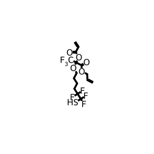 C=CCOC(=O)C(OCCCCC(F)(F)C(F)(F)S)(OC(=O)C=C)C(F)(F)F